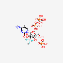 Nc1ccn([C@@H]2O[C@H](CO)[C@@H](O)[C@]2(O)C(F)(F)F)c(=O)n1.O=P(O)(O)O.O=P(O)(O)O.O=P(O)(O)O